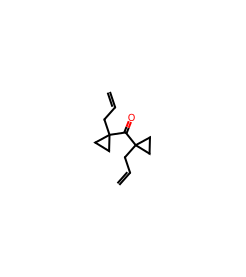 C=CCC1(C(=O)C2(CC=C)CC2)CC1